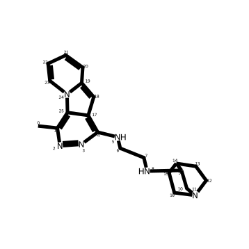 Cc1nnc(NCCNC2CN3CCC2CC3)c2cc3ccccn3c12